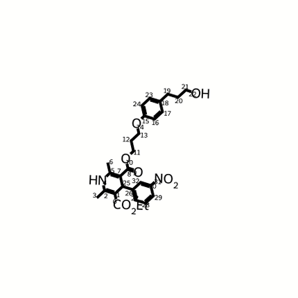 CCOC(=O)C1=C(C)NC(C)=C(C(=O)OCCCOc2ccc(CCCO)cc2)C1c1cccc([N+](=O)[O-])c1